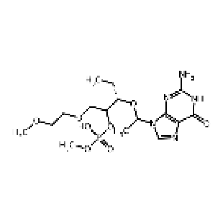 CC[C@H](OC(C)n1cnc2c(=O)[nH]c(N)nc21)C(COCCOC)OP(=O)(O)OC